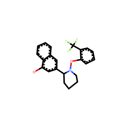 [O]c1cc(C2CCCCN2Oc2ccccc2C(F)(F)F)cc2ccccc12